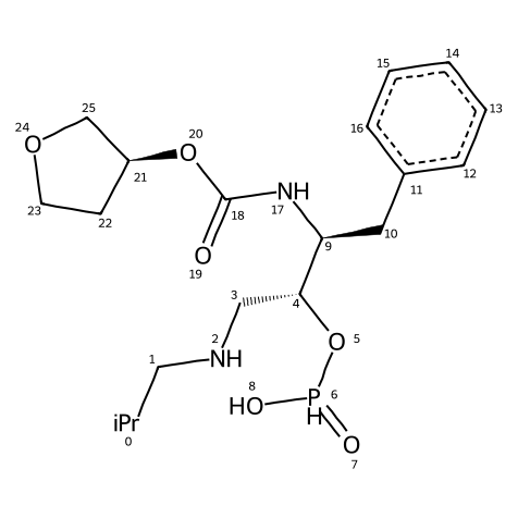 CC(C)CNC[C@@H](O[PH](=O)O)[C@H](Cc1ccccc1)NC(=O)O[C@H]1CCOC1